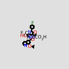 C[C@]1(C(=O)O)COc2c1cc([C@@](O)(CNC(=O)c1cc(OC3CC3)c3ncccc3c1)C(F)(F)F)nc2-c1ccc(F)cc1